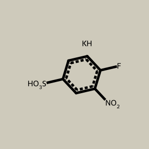 O=[N+]([O-])c1cc(S(=O)(=O)O)ccc1F.[KH]